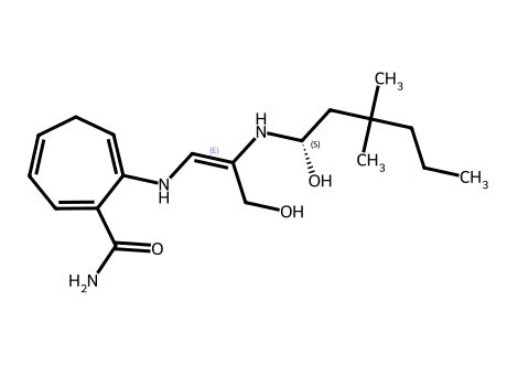 CCCC(C)(C)C[C@H](O)N/C(=C/NC1=CCC=CC=C1C(N)=O)CO